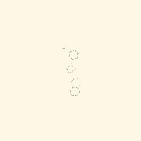 O=[N+]([O-])c1cccc(-c2nc(C3=Cc4cc(Cl)ccc4OC3)no2)c1